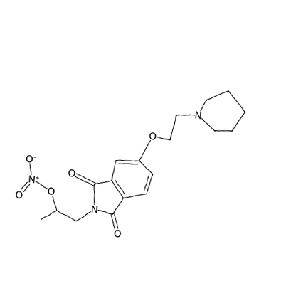 CC(CN1C(=O)c2ccc(OCCN3CCCCC3)cc2C1=O)O[N+](=O)[O-]